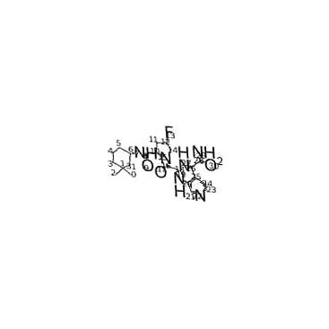 CC1(C)CCC[C@@H](NC(=O)[C@@H]2C[C@@H](F)CN2C(=O)CNc2cnccc2C(=N)C(N)=O)C1